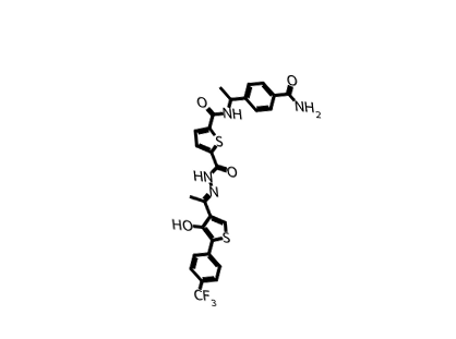 C/C(=N\NC(=O)c1ccc(C(=O)NC(C)c2ccc(C(N)=O)cc2)s1)c1csc(-c2ccc(C(F)(F)F)cc2)c1O